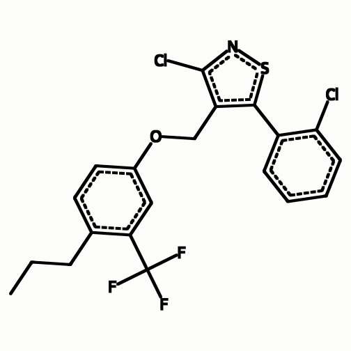 CCCc1ccc(OCc2c(Cl)nsc2-c2ccccc2Cl)cc1C(F)(F)F